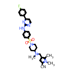 Cc1c(CN(C)C2CCN(S(=O)(=O)c3ccc(Nc4nccc(-c5ccc(F)cc5)n4)cc3)CC2)cc(C#N)n1C